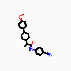 COc1ccc(C2CCC(C(C)C(=O)Nc3ccc(C#N)cc3)CC2)cc1